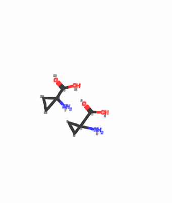 NC1(C(=O)O)CC1.NC1(C(=O)O)CC1